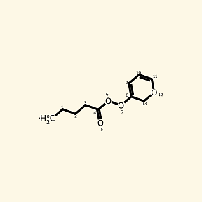 [CH2]CCCC(=O)OOC1=CC=COC1